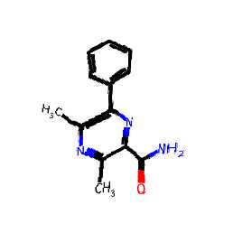 Cc1nc(C)c(-c2ccccc2)nc1C(N)=O